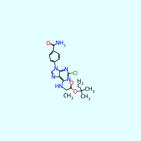 C[C@H](Nc1nc(Cl)nc2c1ncn2-c1ccc(C(N)=O)cc1)C(=O)OC(C)(C)C